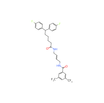 O=C(CCCCC(c1ccc(F)cc1)c1ccc(F)cc1)NC/C=C/CNC(=O)c1cc(C(F)(F)F)cc(C(F)(F)F)c1